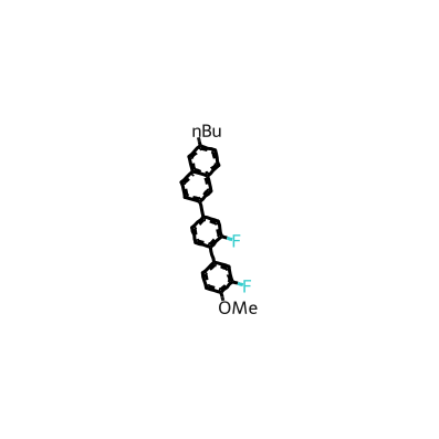 CCCCc1ccc2cc(-c3ccc(-c4ccc(OC)c(F)c4)c(F)c3)ccc2c1